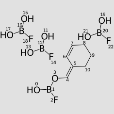 OB(F)OC=C1C=CCCC1.OB(O)F.OB(O)F.OB(O)F